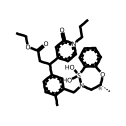 CCCn1ccc(C(CC(=O)OCC)c2ccc(C)c(CN3C[C@@H](C)Oc4ccccc4S3(O)O)c2)cc1=O